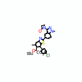 Cc1cc2nc(-c3ccc4c(c3)c(N3CCC3=O)nn4C)sc2c(-c2ccc(Cl)cc2)c1[C@H](OC(C)(C)C)C(=O)O